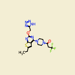 CCc1cc2c(N3CCN(C(=O)CC(F)(F)F)CC3)nc(OCc3nnn[nH]3)nc2s1